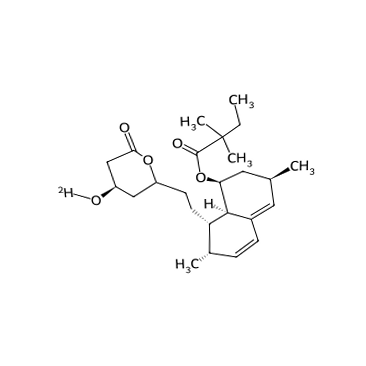 [2H]O[C@H]1CC(=O)OC(CC[C@@H]2[C@@H]3C(=C[C@H](C)C[C@@H]3OC(=O)C(C)(C)CC)C=C[C@@H]2C)C1